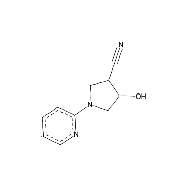 N#CC1CN(c2cc[c]cn2)CC1O